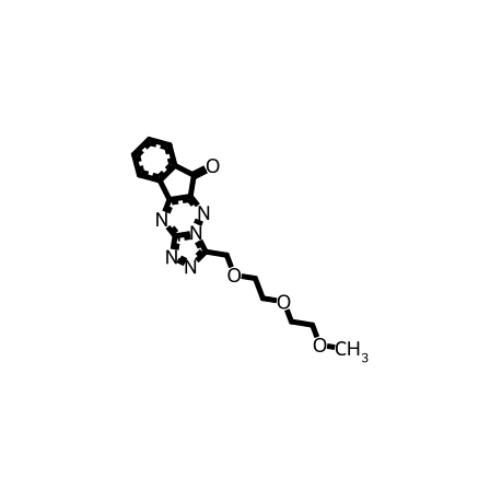 COCCOCCOCc1nnc2nc3c(nn12)C(=O)c1ccccc1-3